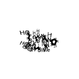 COCCOC[C@](COCCO)(OC[C@H]1O[C@@H](n2ncc3c(NC4CCCC4)nc(Cl)nc32)[C@H](O)[C@@H]1O)P(=O)(O)O